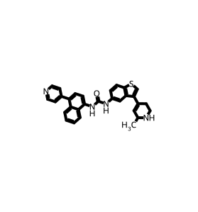 CC1C=C(c2csc3ccc(NC(=O)Nc4ccc(-c5ccncc5)c5ccccc45)cc23)CCN1